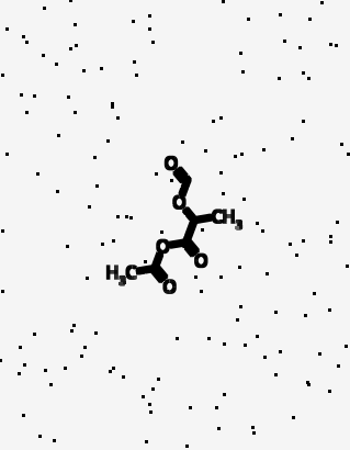 CC(=O)OC(=O)C(C)OC=O